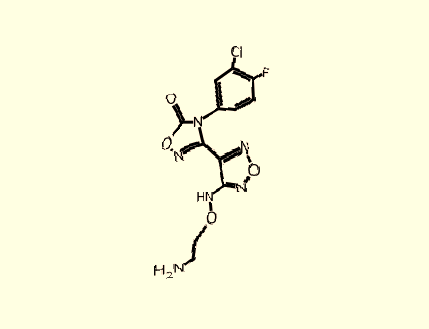 NCCONc1nonc1-c1noc(=O)n1-c1ccc(F)c(Cl)c1